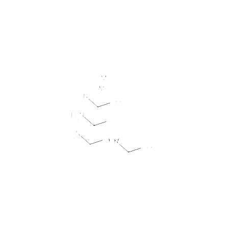 NCC(=O)[O-].NCC(=O)[O-].NCC(=O)[O-].NCC(=O)[O-].[Mn+2].[Mn+2]